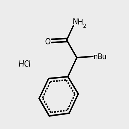 CCCCC(C(N)=O)c1ccccc1.Cl